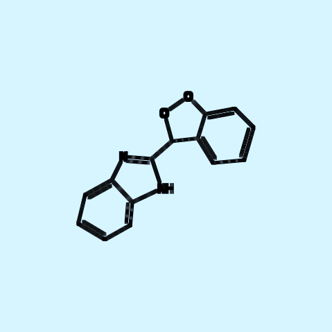 c1ccc2c(c1)OOC2c1nc2ccccc2[nH]1